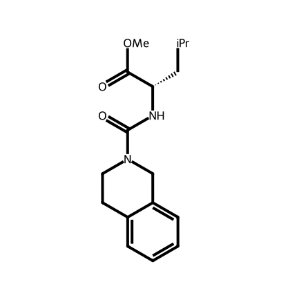 COC(=O)[C@H](CC(C)C)NC(=O)N1CCc2ccccc2C1